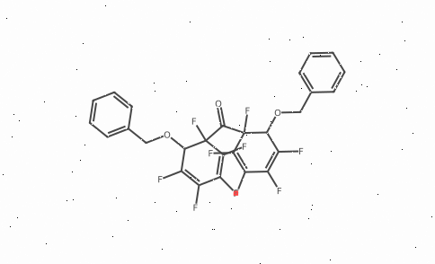 O=C(C1(F)C(F)=C(F)C(F)=C(F)C1OCc1ccccc1)C1(F)C(F)=C(F)C(F)=C(F)C1OCc1ccccc1